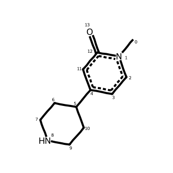 Cn1ccc(C2CCNCC2)cc1=O